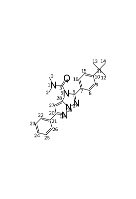 CN(C)C(=O)n1c(-c2ccc(C(C)(C)C)cc2)nn2nc(-c3ccccc3)cc12